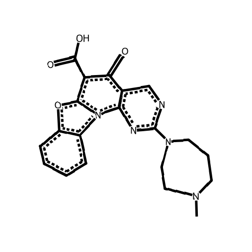 CN1CCCN(c2ncc3c(=O)c(C(=O)O)c4oc5ccccc5n4c3n2)CC1